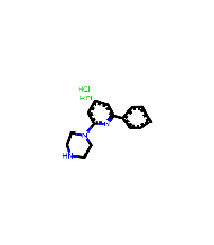 Cl.Cl.c1ccc(-c2cccc(N3CCNCC3)n2)cc1